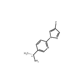 C[C@@H](N)c1ccc(-n2cc(F)cn2)nc1